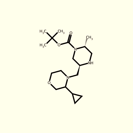 C[C@@H]1CN[C@@H](CN2CCOCC2C2CC2)CN1C(=O)OC(C)(C)C